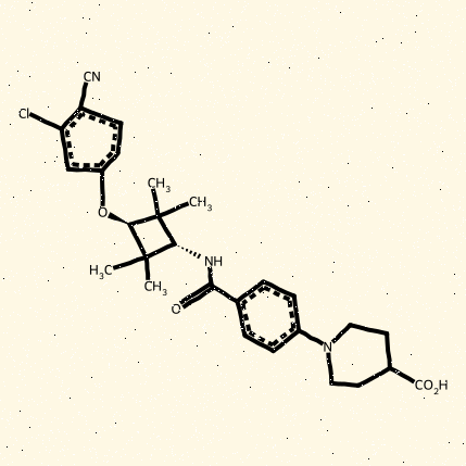 CC1(C)[C@H](NC(=O)c2ccc(N3CCC(C(=O)O)CC3)cc2)C(C)(C)[C@H]1Oc1ccc(C#N)c(Cl)c1